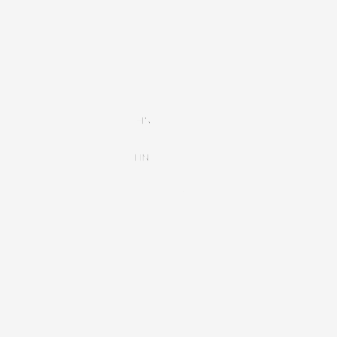 CC(C)(C)CC1=CNCN1